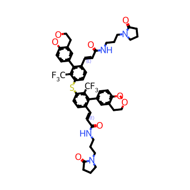 O=C(/C=C/c1ccc(Sc2ccc(/C=C/C(=O)NCCCN3CCCC3=O)c(-c3ccc4c(c3)CCOO4)c2C(F)(F)F)c(C(F)(F)F)c1-c1ccc2c(c1)CCOO2)NCCCN1CCCC1=O